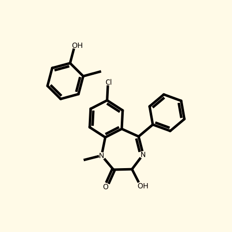 CN1C(=O)C(O)N=C(c2ccccc2)c2cc(Cl)ccc21.Cc1ccccc1O